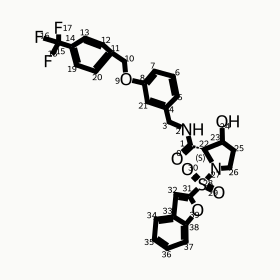 O=C(NCc1cccc(OCc2ccc(C(F)(F)F)cc2)c1)[C@@H]1C(O)CCN1S(=O)(=O)c1cc2ccccc2o1